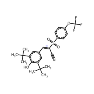 CC(C)(C)c1cc(/C=C(\C#N)S(=O)(=O)c2ccc(OC(F)(F)F)cc2)cc(C(C)(C)C)c1O